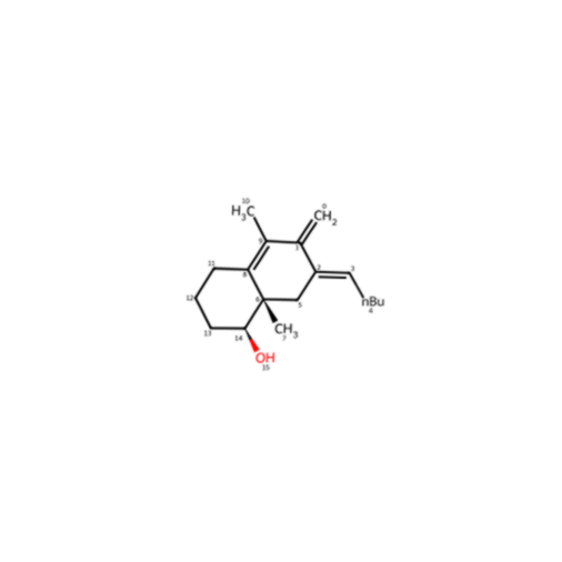 C=C1C(=CCCCC)C[C@@]2(C)C(=C1C)CCC[C@@H]2O